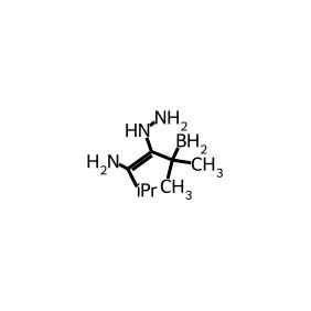 BC(C)(C)/C(NN)=C(/N)C(C)C